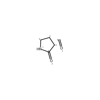 C=O.O=C1CCCN1